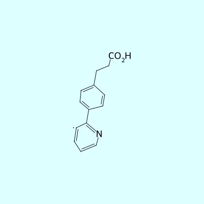 O=C(O)CCc1ccc(-c2[c]cccn2)cc1